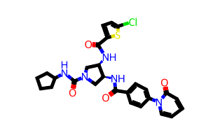 O=C(N[C@H]1CN(C(=O)NC2CCCC2)C[C@H]1NC(=O)c1ccc(Cl)s1)c1ccc(-n2ccccc2=O)cc1